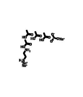 CC(=O)O.CC(=O)O.CC(=O)O.CC(=O)O.NCCN.[Na+].[Na+].[Na+].[O-]P([O-])[O-]